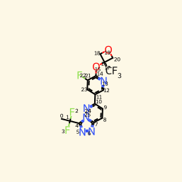 CC(F)(F)c1nnc2ccc(-c3cnc(OC4(C(F)(F)F)COC4)c(F)c3)nn12